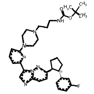 CC(C)(C)OC(=O)NCCCN1CCN(c2cccc(-c3cnc4ccc(C5CCC[C@@H]5c5cccc(F)c5)nn34)n2)CC1